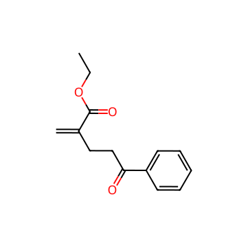 C=C(CCC(=O)c1ccccc1)C(=O)OCC